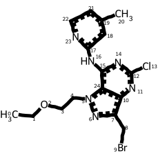 CCOCCn1nc(CBr)c2nc(Cl)nc(Nc3cc(C)ccn3)c21